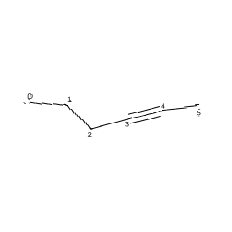 [CH2]CCC#CC